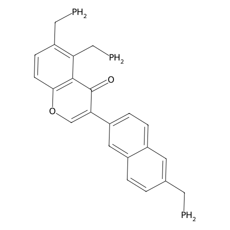 O=c1c(-c2ccc3cc(CP)ccc3c2)coc2ccc(CP)c(CP)c12